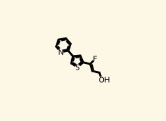 OCC=C(F)c1cc(-c2ccccn2)cs1